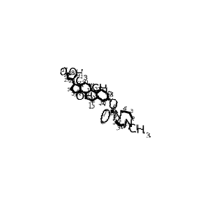 CN1CCCN(C(=O)OC2CCC3(C)C(CCC4C3CCC3(C)C(C5=CC(=O)OC5)CCC43O)C2)CC1